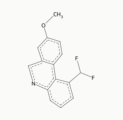 COc1ccc2c(cnc3cccc(C(F)F)c32)c1